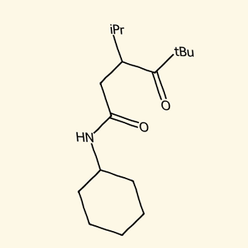 CC(C)C(CC(=O)NC1CCCCC1)C(=O)C(C)(C)C